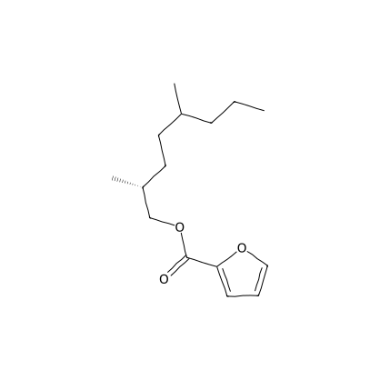 CCCC(C)CC[C@@H](C)COC(=O)c1ccco1